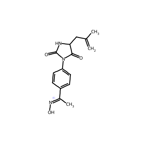 C=C(C)CC1NC(=O)N(c2ccc(/C(C)=N/O)cc2)C1=O